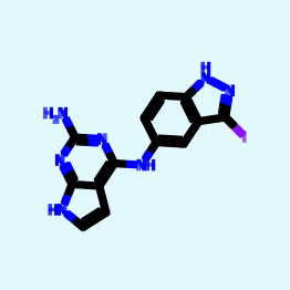 Nc1nc(Nc2ccc3[nH]nc(I)c3c2)c2cc[nH]c2n1